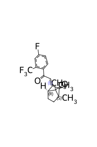 CC1(C)[C@H]2CC[C@]1(C)C(=O)/C2=C/C(=O)c1ccc(F)cc1C(F)(F)F